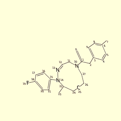 C=C(Cc1ccc(C)cc1)N1C/C=N\N(c2ccc(F)cc2)C(C)CCCC1